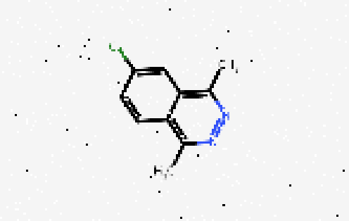 Cc1nnc(C)c2cc(Cl)ccc12